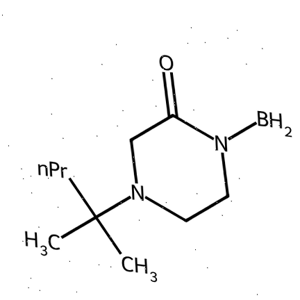 BN1CCN(C(C)(C)CCC)CC1=O